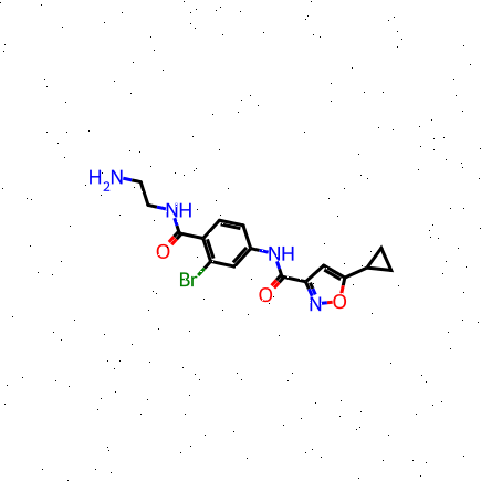 NCCNC(=O)c1ccc(NC(=O)c2cc(C3CC3)on2)cc1Br